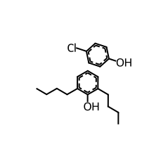 CCCCc1cccc(CCCC)c1O.Oc1ccc(Cl)cc1